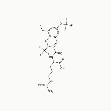 CCc1cc(OC(F)(F)F)cc2c1O[C@H](C(F)(F)F)C(C(=O)NC(CCCNC(=N)N)C(=O)O)=C2